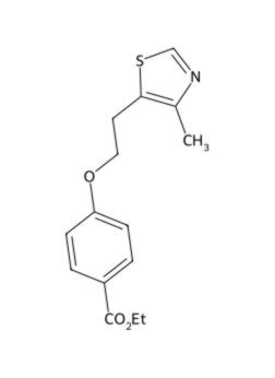 CCOC(=O)c1ccc(OCCc2scnc2C)cc1